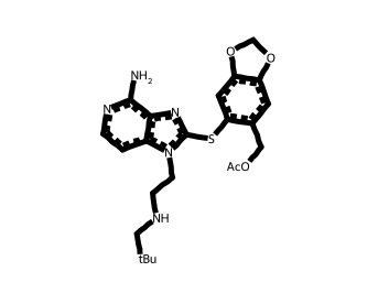 CC(=O)OCc1cc2c(cc1Sc1nc3c(N)nccc3n1CCNCC(C)(C)C)OCO2